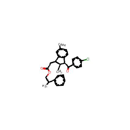 COc1ccc2c(c1)C(CC(=O)OCC(C)c1ccccc1)C(C)C2C(=O)c1ccc(Cl)cc1